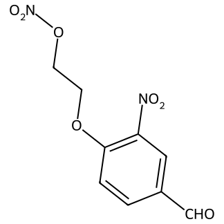 O=Cc1ccc(OCCO[N+](=O)[O-])c([N+](=O)[O-])c1